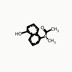 CC(=O)N(C)c1cccc2c(O)cccc12